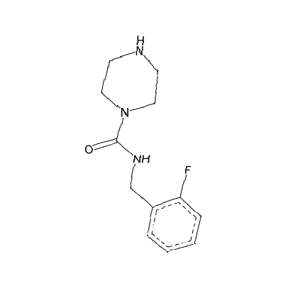 O=C(NCc1ccccc1F)N1CCNCC1